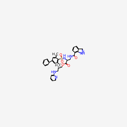 Cc1cc(-c2ccccc2)cc(C)c1S(=O)(=O)NC(CNC(=O)c1cccc2cn[nH]c12)C(=O)OCCCNc1ccccn1